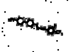 CCC[C@H]1CC[C@H]([C@H]2CC[C@H](C=CC#Cc3ccc(C(F)(F)F)c(F)c3)CC2)CC1